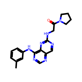 Cc1cccc(Nc2ncnc3cnc(NCC(=O)N4CCCC4)nc23)c1